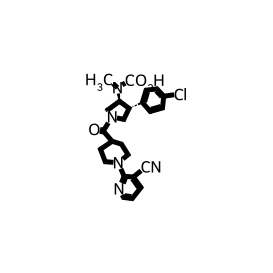 CN(C(=O)O)[C@@H]1CN(C(=O)C2CCN(c3ncccc3C#N)CC2)C[C@H]1c1ccc(Cl)cc1